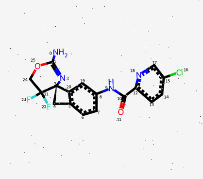 NC1=N[C@@]2(Cc3ccc(NC(=O)c4ccc(Cl)cn4)cc32)C(F)(F)CO1